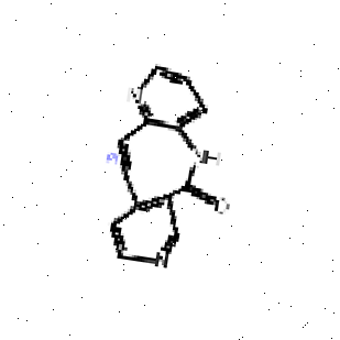 O=C1Nc2cccnc2/C=C\c2ccncc21